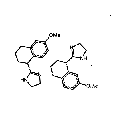 COc1ccc2c(c1)C(C1=NCCN1)CCC2.COc1ccc2c(c1)CCCC2C1=NCCN1